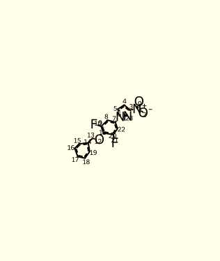 O=[N+]([O-])c1ccn(-c2cc(F)c(OCc3ccccc3)c(F)c2)n1